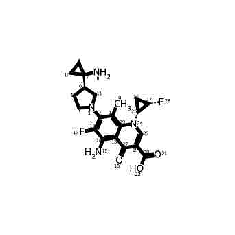 Cc1c(N2CC[C@@H](C3(N)CC3)C2)c(F)c(N)c2c(=O)c(C(=O)O)cn([C@@H]3C[C@@H]3F)c12